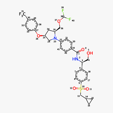 O=C(N[C@@H](CO)c1ccc(S(=O)(=O)CC2CC2)cc1)c1ccc(N2C[C@@H](Oc3ccc(C(F)(F)F)cc3)C[C@H]2COC(F)F)cc1